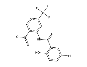 O=C(Nc1cc(C(F)(F)F)ccc1[N+](=O)[O-])c1cc(Cl)ccc1O